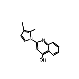 Cc1ccn(-c2[c]c(O)c3ccccc3n2)c1C